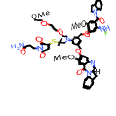 COCCOCCOCCN(CC(C)(C)SC1CC(=O)N(CCC(N)=O)C1=O)c1cc(COc2cc3c(cc2OC)C(=O)N2c4ccccc4C[C@H]2C=N3)cc(COc2cc(NF)c(C(=O)N3CCc4ccccc43)cc2OC)c1